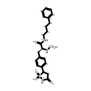 O=C(O)N[C@@H](Cc1ccc(C2CC(=O)NS2(=O)=O)cc1)C(=O)NCCCCc1ccccc1